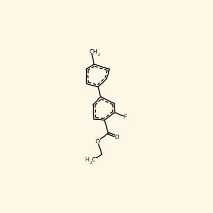 CCOC(=O)c1ccc(-c2ccc(C)cc2)cc1F